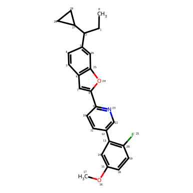 CCC(c1ccc2cc(-c3ccc(-c4cc(OC)ccc4F)cn3)oc2c1)C1CC1